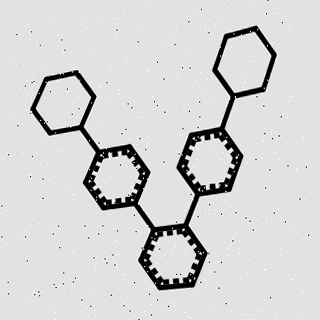 [c]1cccc(-c2ccc(C3CCCCC3)cc2)c1-c1ccc(C2CCCCC2)cc1